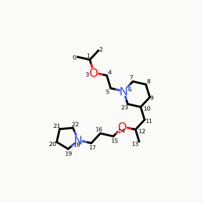 CC(C)OCCN1CCCC(CC(C)OCCCN2CCCC2)C1